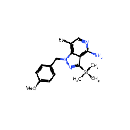 CCc1cnc(N)c2[c]([Sn]([CH3])([CH3])[CH3])nn(Cc3ccc(OC)cc3)c12